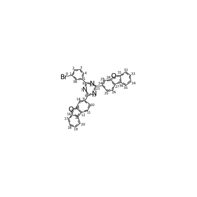 Brc1cccc(-c2nc(-c3ccc4c(c3)oc3ccccc34)nc(-c3ccc4c(c3)oc3ccccc34)n2)c1